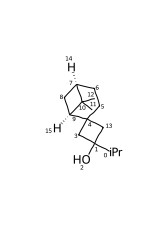 CC(C)C1(O)CC2(CC[C@@H]3C[C@H]2C3(C)C)C1